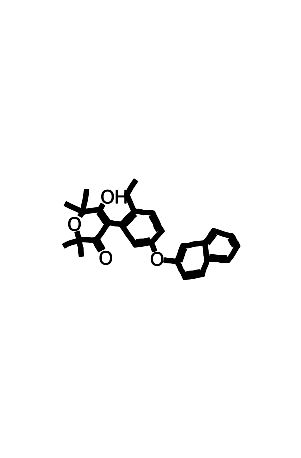 CCc1ccc(Oc2ccc3ccccc3c2)cc1C1=C(O)C(C)(C)OC(C)(C)C1=O